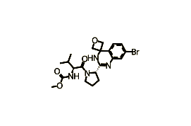 COC(=O)N[C@H](C(=O)N1CCC[C@H]1C1=Nc2cc(Br)ccc2C2(COC2)N1)C(C)C